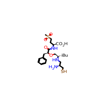 CC[C@@H](C)[C@H](CO[C@@H](Cc1ccccc1)C(=O)N[C@@H](CCS(C)(=O)=O)C(=O)O)NC[C@H](N)CS